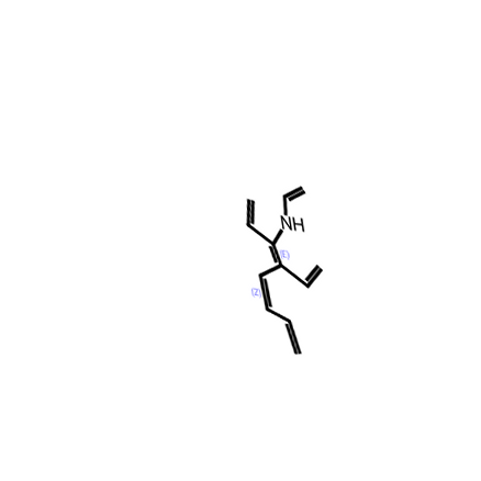 C=C/C=C\C(C=C)=C(/C=C)NC=C